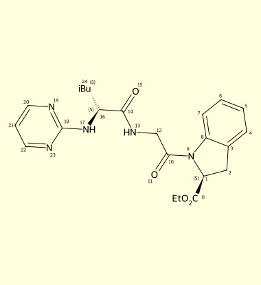 CCOC(=O)[C@@H]1Cc2ccccc2N1C(=O)CNC(=O)[C@@H](Nc1ncccn1)[C@@H](C)CC